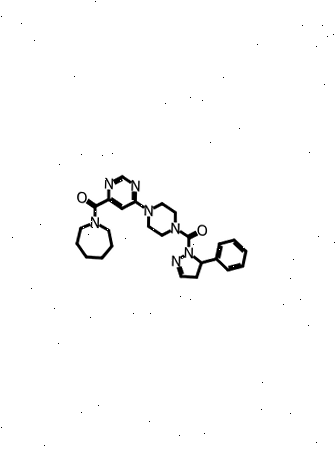 O=C(c1cc(N2CCN(C(=O)N3N=CCC3c3ccccc3)CC2)ncn1)N1CCCCCC1